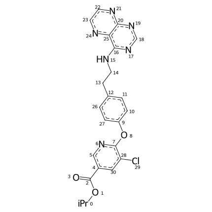 CC(C)OC(=O)c1cnc(Oc2ccc(CCNc3ncnc4nccnc34)cc2)c(Cl)c1